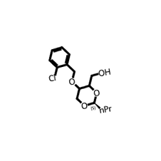 CCC[C@H]1OCC(OCc2ccccc2Cl)C(CO)O1